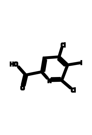 O=C(O)c1cc(Cl)c(I)c(Cl)n1